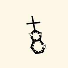 CC(C)(C)c1nc2cccnc2s1